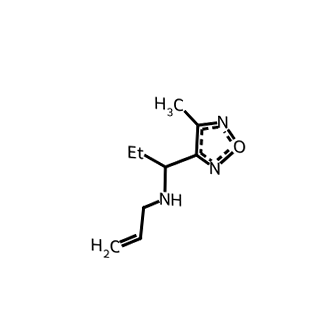 C=CCNC(CC)c1nonc1C